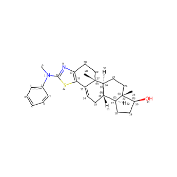 CN(c1ccccc1)c1nc2c(s1)C1=CC[C@H]3[C@@H]4CC[C@H](O)[C@@]4(C)CC[C@@H]3[C@@]1(C)CC2